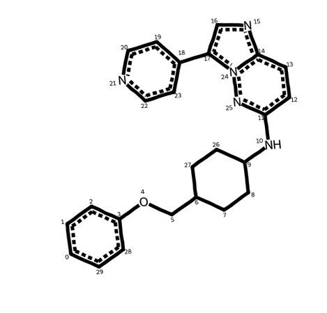 c1ccc(OCC2CCC(Nc3ccc4ncc(-c5ccncc5)n4n3)CC2)cc1